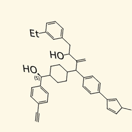 C#Cc1ccc([C@@H](O)C2CCC(C(C(=C)C(O)Cc3cccc(CC)c3)c3ccc(C4=CC(C)C=C4)cc3)CC2)cc1